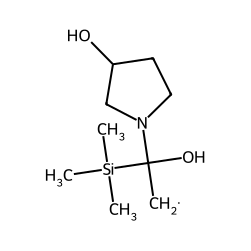 [CH2]C(O)(N1CCC(O)C1)[Si](C)(C)C